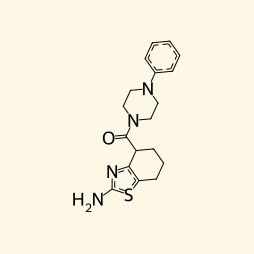 Nc1nc2c(s1)CCCC2C(=O)N1CCN(c2ccccc2)CC1